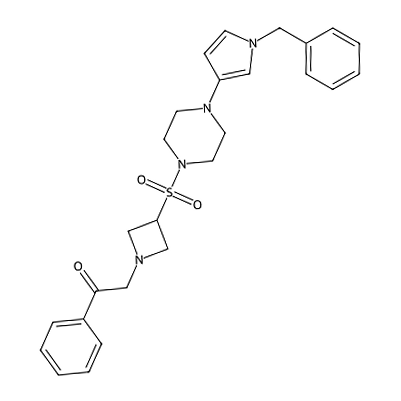 O=C(CN1CC(S(=O)(=O)N2CCN(c3ccn(Cc4ccccc4)c3)CC2)C1)c1ccccc1